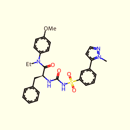 CCN(C(=O)[C@H](Cc1ccccc1)NC(=O)NS(=O)(=O)c1cccc(-c2ccnn2C)c1)c1ccc(OC)cc1